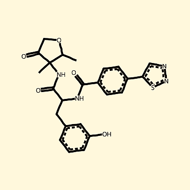 CC1OCC(=O)C1(C)NC(=O)C(Cc1cccc(O)c1)NC(=O)c1ccc(-c2cnns2)cc1